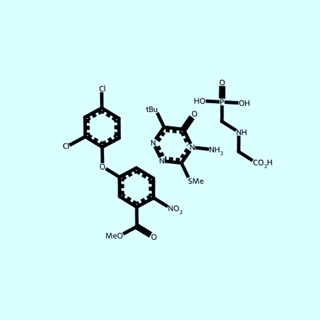 COC(=O)c1cc(Oc2ccc(Cl)cc2Cl)ccc1[N+](=O)[O-].CSc1nnc(C(C)(C)C)c(=O)n1N.O=C(O)CNCP(=O)(O)O